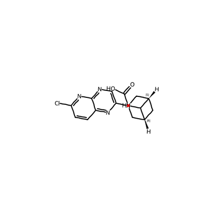 O=C(O)NC1[C@@H]2C[C@H]1CN(c1cnc3nc(Cl)ccc3n1)C2